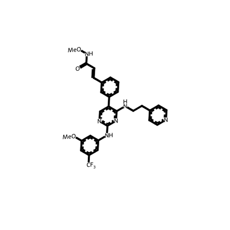 CONC(=O)C=Cc1cccc(-c2cnc(Nc3cc(OC)cc(C(F)(F)F)c3)nc2NCCc2ccncc2)c1